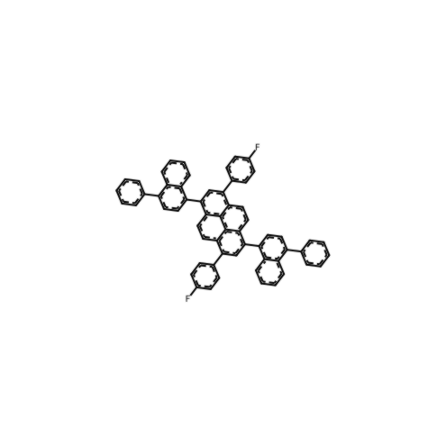 Fc1ccc(-c2cc(-c3ccc(-c4ccccc4)c4ccccc34)c3ccc4c(-c5ccc(F)cc5)cc(-c5ccc(-c6ccccc6)c6ccccc56)c5ccc2c3c45)cc1